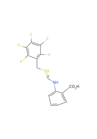 O=C(O)c1ccccc1NC=[SH]Cc1c(F)c(F)c(F)c(F)c1F